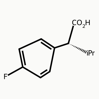 CC(C)[C@@H](C(=O)O)c1ccc(F)cc1